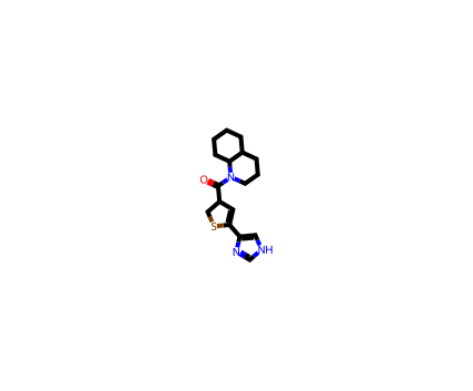 O=C(C1C=C(c2c[nH]cn2)SC1)N1CCCC2CCCCC21